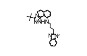 Cn1c(CCCNc2cccc3ccn4c(C(C)(C)C)nnc4c23)nc2ccccc21